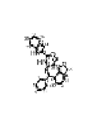 O=C(N[C@H]1N=C(c2ccccc2)c2cccc3c2N(CC3)C1=O)c1cc2ccccc2[nH]1